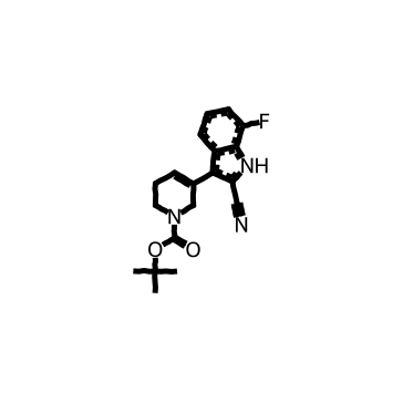 CC(C)(C)OC(=O)N1CCC=C(c2c(C#N)[nH]c3c(F)cccc23)C1